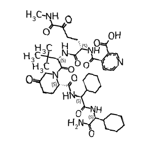 CNC(=O)C(=O)CC[C@H](NC(=O)c1ccncc1C(=O)O)C(=O)N[C@H](C(=O)N1CC(=O)CC[C@H]1C(=O)N[C@H](C(=O)N[C@H](C(N)=O)C1CCCCC1)C1CCCCC1)C(C)(C)C